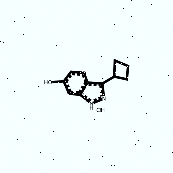 Cl.Oc1ccc2c(C3CCC3)n[nH]c2c1